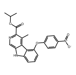 Cc1c(C(=O)OC(C)C)ncc2[nH]c3cccc(Oc4ccc([N+](=O)[O-])cc4)c3c12